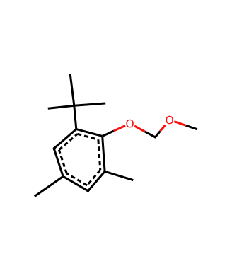 COCOc1c(C)cc(C)cc1C(C)(C)C